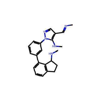 C/N=C/c1cnn(-c2cccc(-c3cccc4c3C(NC)CC4)c2)c1NC